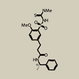 CNC(=S)NS(=O)(=O)c1cc(CCC(=O)N[C@@H](C)c2ccccc2)ccc1OC